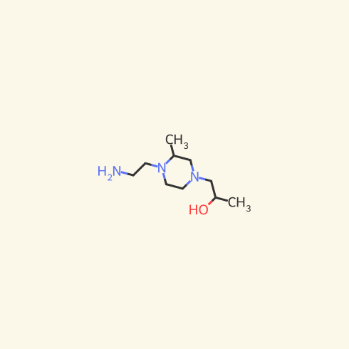 CC(O)CN1CCN(CCN)C(C)C1